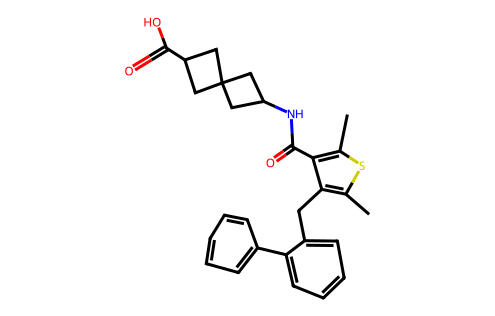 Cc1sc(C)c(C(=O)NC2CC3(C2)CC(C(=O)O)C3)c1Cc1ccccc1-c1ccccc1